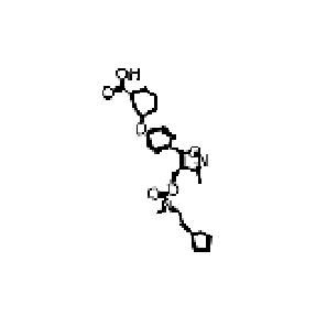 Cc1noc(-c2ccc(O[C@H]3CCC[C@H](C(=O)O)C3)cc2)c1COC(=O)N(C)CCC1CCCC1